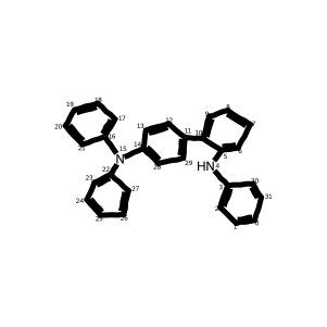 c1ccc(Nc2ccccc2-c2ccc(N(c3ccccc3)c3ccccc3)cc2)cc1